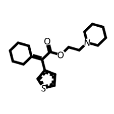 O=C(OCCN1CCCCC1)C(=C1CCCCC1)c1ccsc1